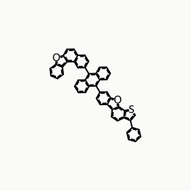 c1ccc(-c2csc3c2ccc2c4ccc(-c5c6ccccc6c(-c6ccc7ccc8oc9ccccc9c8c7c6)c6ccccc56)cc4oc23)cc1